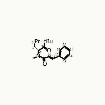 CC(C)C[C@H](C(=O)C(C)(C)C)N(C)C(=O)/C=C/c1ccccc1